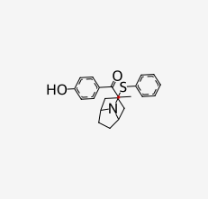 CC(C(=O)c1ccc(O)cc1)N1C2CCC1CC(Sc1ccccc1)C2